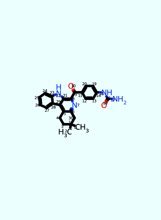 CC1(C)CCc2c(nc(C(=O)c3ccc(NC(N)=O)cc3)c3[nH]c4ccccc4c23)C1